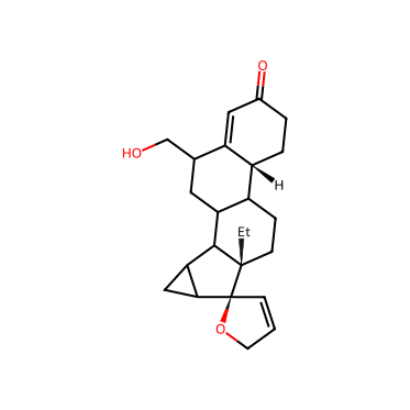 CC[C@]12CCC3C(CC(CO)C4=CC(=O)CC[C@@H]43)C1C1CC1[C@@]21C=CCO1